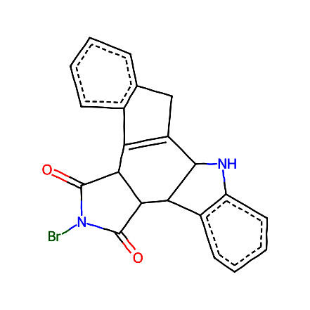 O=C1C2C3=C(Cc4ccccc43)C3Nc4ccccc4C3C2C(=O)N1Br